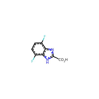 O=C(O)c1nc2c(F)ccc(F)c2[nH]1